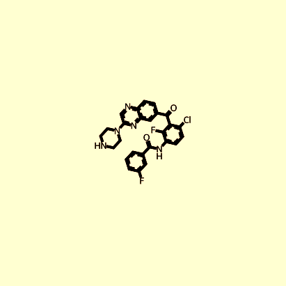 O=C(Nc1ccc(Cl)c(C(=O)c2ccc3ncc(N4CCNCC4)nc3c2)c1F)c1cccc(F)c1